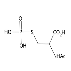 CC(=O)NC(CSP(=O)(O)O)C(=O)O